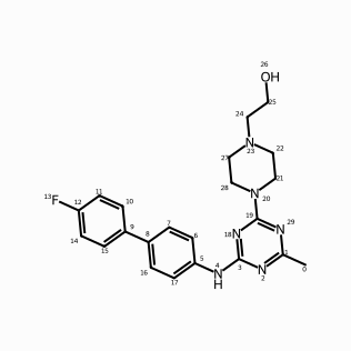 Cc1nc(Nc2ccc(-c3ccc(F)cc3)cc2)nc(N2CCN(CCO)CC2)n1